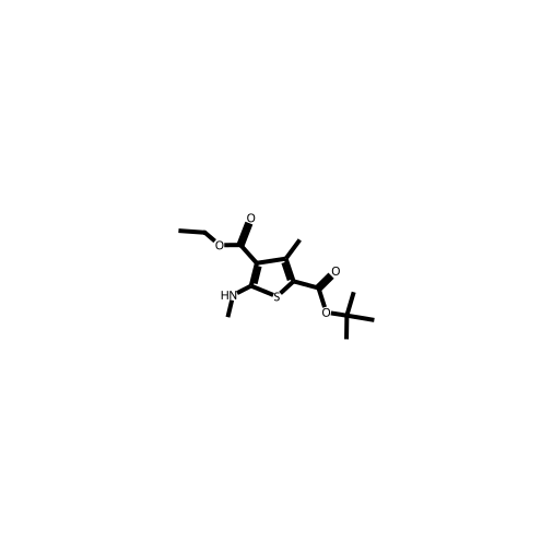 CCOC(=O)c1c(NC)sc(C(=O)OC(C)(C)C)c1C